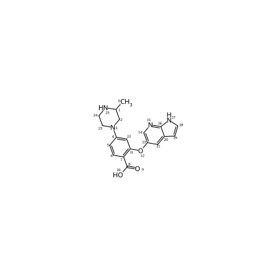 CC1CN(c2ccc(C(=O)O)c(Oc3cnc4[nH]ccc4c3)c2)CCN1